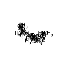 C/C=C\C[C@@H](C/C=C\NC(=O)[C@@H](NC(=O)\C=C/C=C\C(C)=C\[C@H](C)[C@@H]1CC=C(OC)C(=O)O1)C(C)(C)C)OC(=O)NC